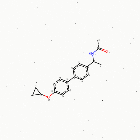 CC(=O)NC(C)c1ccc(-c2ccc(OC3CC3)cc2)cc1